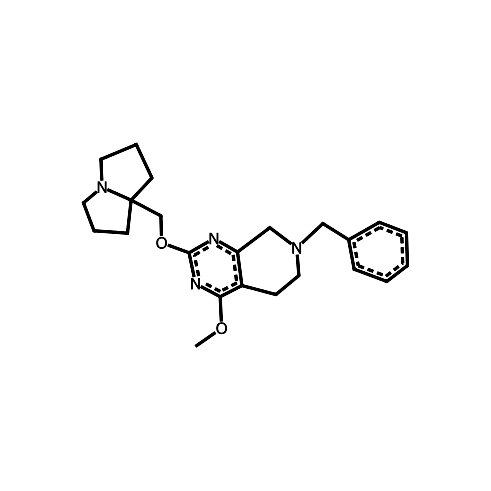 COc1nc(OCC23CCCN2CCC3)nc2c1CCN(Cc1ccccc1)C2